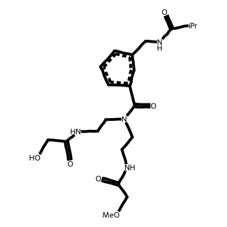 COCC(=O)NCCN(CCNC(=O)CO)C(=O)c1cccc(CNC(=O)C(C)C)c1